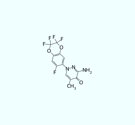 Cc1cn(-c2cc3c(cc2F)OC(F)(F)C(F)(F)O3)nc(N)c1=O